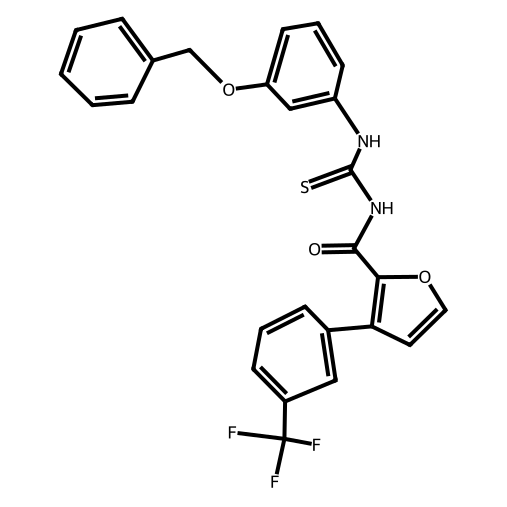 O=C(NC(=S)Nc1cccc(OCc2ccccc2)c1)c1occc1-c1cccc(C(F)(F)F)c1